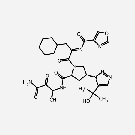 CC(NC(=O)[C@@H]1C[C@H](n2nncc2C(C)(C)O)CN1C(=O)/C(CC1CCCCC1)=N/C(=O)c1cocn1)C(=O)C(N)=O